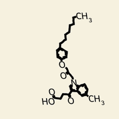 CCCCCCCCc1ccc(OCC(=O)Cn2cc(C(=O)CCC(=O)O)c3cc(C)ccc32)cc1